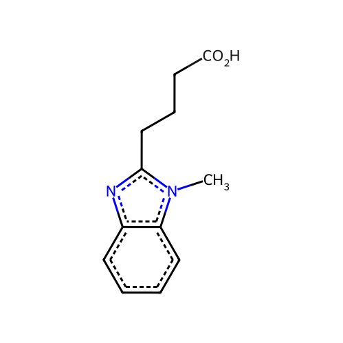 Cn1c(CCCC(=O)O)nc2ccccc21